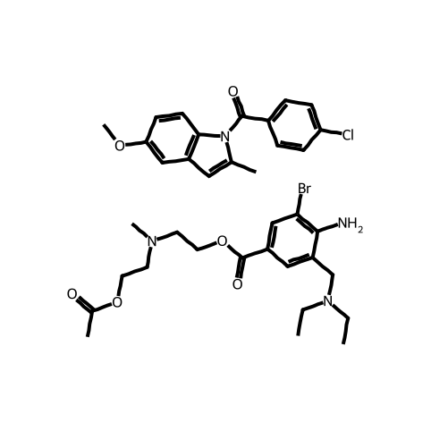 CCN(CC)Cc1cc(C(=O)OCCN(C)CCOC(C)=O)cc(Br)c1N.COc1ccc2c(c1)cc(C)n2C(=O)c1ccc(Cl)cc1